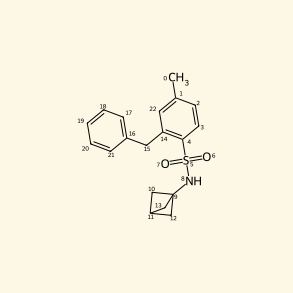 Cc1ccc(S(=O)(=O)NC23CC(C2)C3)c(Cc2ccccc2)c1